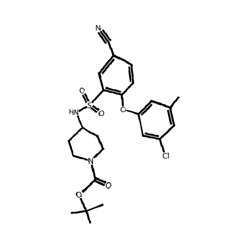 Cc1cc(Cl)cc(Oc2ccc(C#N)cc2S(=O)(=O)NC2CCN(C(=O)OC(C)(C)C)CC2)c1